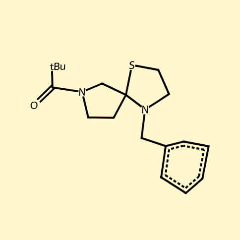 CC(C)(C)C(=O)N1CCC2(C1)SCCN2Cc1ccccc1